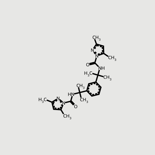 Cc1cc(C)n(C(=O)NC(C)(C)c2cccc(C(C)(C)NC(=O)n3nc(C)cc3C)c2)n1